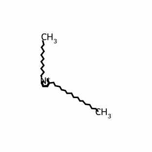 CCCCCCCCCCCCCCCCc1ccc[n+](CCCCCCCCCCCC)c1